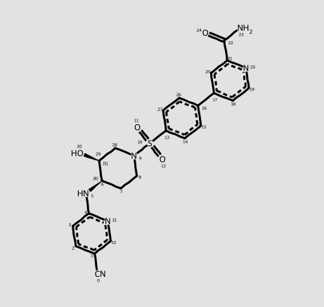 N#Cc1ccc(N[C@@H]2CCN(S(=O)(=O)c3ccc(-c4ccnc(C(N)=O)c4)cc3)C[C@@H]2O)nc1